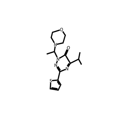 CC(C)c1nc(-c2cccs2)nn(C(C)N2CCOCC2)c1=O